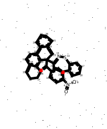 O=C(c1ccc([N+](=O)[O-])cc1)C1(C2=NSc3ccccc3C=C2)C=c2ccccc2=c2ccc3c(c21)CCCC=3